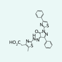 Cc1sc(N/N=C2\C(=O)N(c3nc(-c4ccccc4)cs3)N=C2c2ccccc2)nc1CC(=O)O